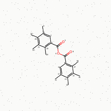 Cc1cc(C(=O)OC(=O)c2cc(C)c(C)c(C)c2C)c(C)c(C)c1C